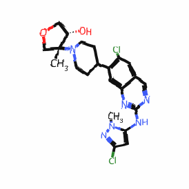 Cn1nc(Cl)cc1Nc1ncc2cc(Cl)c(C3CCN([C@]4(C)COC[C@@H]4O)CC3)cc2n1